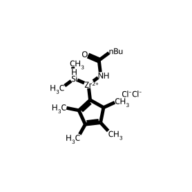 CCCCC(=O)[NH][Zr+2]([C]1=C(C)C(C)=C(C)C1C)[SiH](C)C.[Cl-].[Cl-]